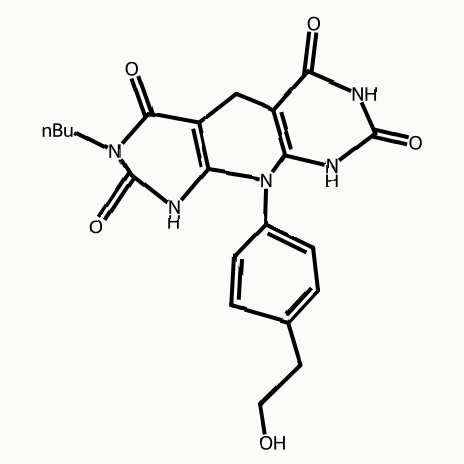 CCCCn1c(=O)[nH]c2c(c1=O)Cc1c([nH]c(=O)[nH]c1=O)N2c1ccc(CCO)cc1